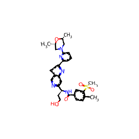 Cc1ccc(C(=O)N[C@@H](CCO)c2cc3nc(-c4cccc(N5C[C@@H](C)O[C@@H](C)C5)n4)ccc3cn2)cc1S(C)(=O)=O